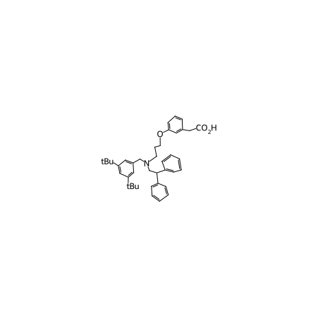 CC(C)(C)c1cc(CN(CCCOc2cccc(CC(=O)O)c2)CC(c2ccccc2)c2ccccc2)cc(C(C)(C)C)c1